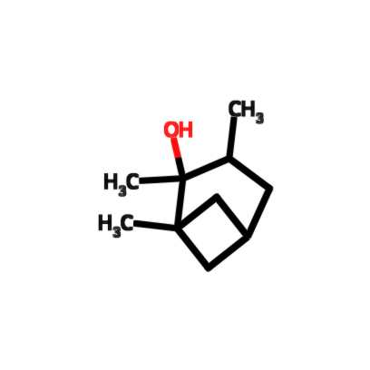 CC1CC2CC(C)(C2)C1(C)O